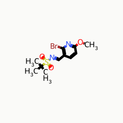 COc1ccc(/C=N/S(=O)(=O)C(C)(C)C)c(Br)n1